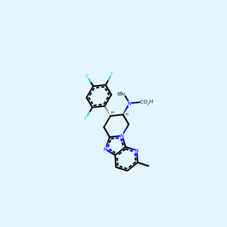 Cc1ccc2nc3n(c2n1)C[C@H](N(C(=O)O)C(C)(C)C)[C@@H](c1cc(F)c(F)cc1F)C3